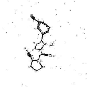 Cl.N#Cc1cccc(C2N[C@H](C(=O)N3CCC[C@H]3C#N)CS2)c1